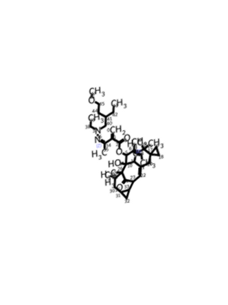 C=C(C(=O)OC(/C(C)=C\C)C1(O)C2OC(C)(C)C3(CC3)CC2=CC2C(=O)C1(C)[C@H](C)CC1CC12)/C(C)=N\N(CC)CC(CC)CCOC